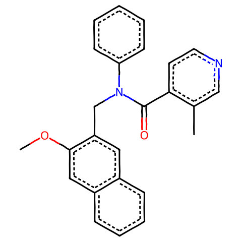 COc1cc2ccccc2cc1CN(C(=O)c1ccncc1C)c1ccccc1